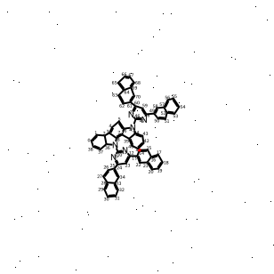 C1=CC2c3ccc4c(c3N(c3nc(-c5ccc6ccccc6c5)cc(-c5ccc6ccccc6c5)n3)C2C=C1)c1ccccc1n4-c1nc(-c2ccc3ccccc3c2)cc(-c2ccc3ccccc3c2)n1